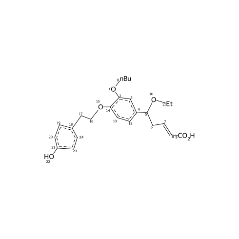 CCCCOc1cc(C(CC=CC(=O)O)OCC)ccc1OCCc1ccc(O)cc1